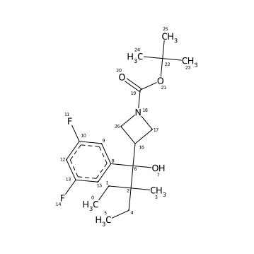 CCC(C)(CC)C(O)(c1cc(F)cc(F)c1)C1CN(C(=O)OC(C)(C)C)C1